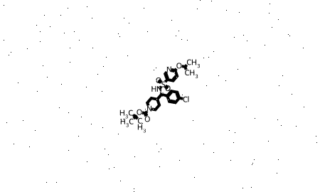 CC(C)Oc1ccc(S(=O)(=O)N[C@H](c2ccc(Cl)cc2)C2CCN(C(=O)OC(C)(C)C)CC2)cn1